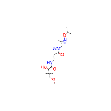 COCC(C)(C)C(O)C(=O)NCCC(=O)NC/C(C)=N/OC(C)C